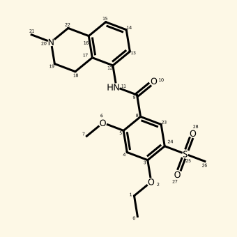 CCOc1cc(OC)c(C(=O)Nc2cccc3c2CCN(C)C3)cc1S(C)(=O)=O